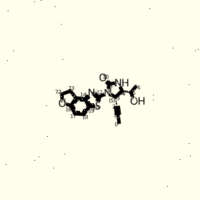 CC#C[C@H]1[C@H](C(C)O)NC(=O)N1c1nc2c3c(ccc2s1)OCC3